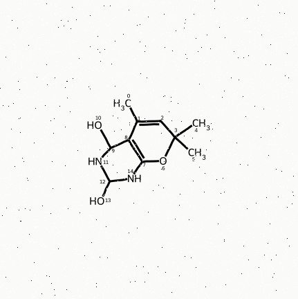 CC1=CC(C)(C)OC2=C1C(O)NC(O)N2